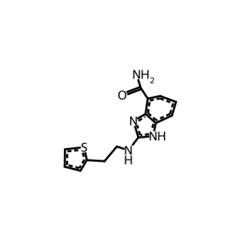 NC(=O)c1cccc2[nH]c(NCCc3cccs3)nc12